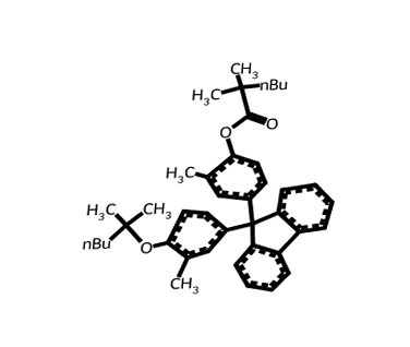 CCCCC(C)(C)Oc1ccc(C2(c3ccc(OC(=O)C(C)(C)CCCC)c(C)c3)c3ccccc3-c3ccccc32)cc1C